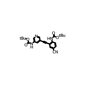 CC(C)(C)OC(=O)Nc1cncc(C#Cc2cc(C#N)ccc2NC(=O)OC(C)(C)C)c1